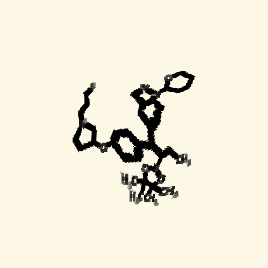 CC/C(B1OC(C)(C)C(C)(C)O1)=C(/c1ccc(O[C@H]2CCN(CCCF)C2)cc1)c1ccc2c(cnn2C2CCCCO2)c1